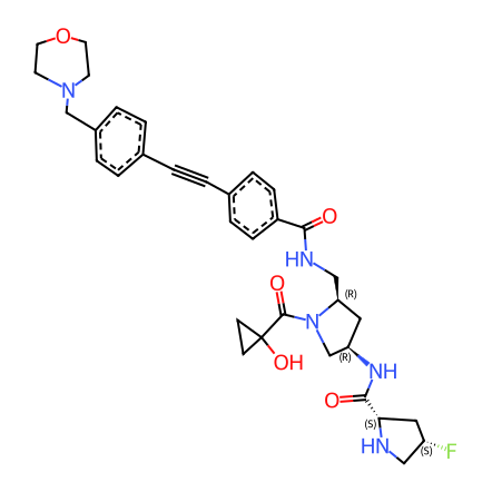 O=C(NC[C@H]1C[C@@H](NC(=O)[C@@H]2C[C@H](F)CN2)CN1C(=O)C1(O)CC1)c1ccc(C#Cc2ccc(CN3CCOCC3)cc2)cc1